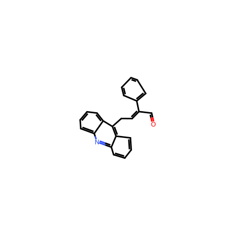 O=C/C(=C/Cc1c2ccccc2nc2ccccc12)c1ccccc1